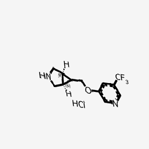 Cl.FC(F)(F)c1cncc(OCC2[C@H]3CNC[C@@H]23)c1